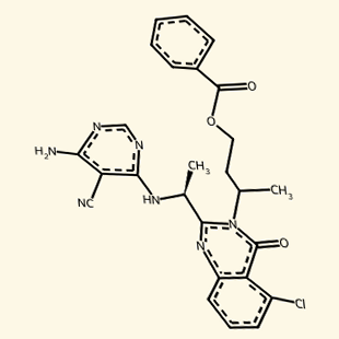 CC(CCOC(=O)c1ccccc1)n1c([C@H](C)Nc2ncnc(N)c2C#N)nc2cccc(Cl)c2c1=O